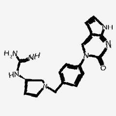 N=C(N)N[C@@H]1CCN(Cc2ccc(-n3cc4cc[nH]c4nc3=O)cc2)C1